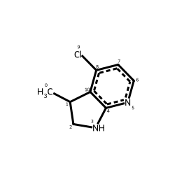 CC1CNc2nccc(Cl)c21